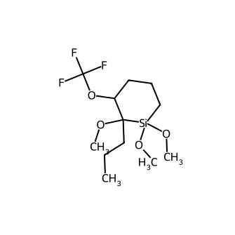 CCCC1(OC)C(OC(F)(F)F)CCC[Si]1(OC)OC